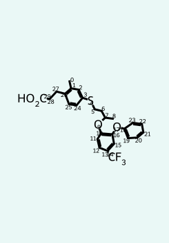 Cc1cc(SCCC(C)Oc2ccc(C(F)(F)F)cc2Oc2ccccc2)ccc1CCC(=O)O